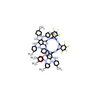 Cc1ccc(Nc2c(Nc3ccc(C)cc3)c(Nc3ccc(C)cc3)c3c(c2Nc2ccc(C)cc2)-c2nc-3nc3[nH]c(nc4nc(nc5[nH]c(n2)c2c(F)c(F)c(F)c(F)c52)-c2c(F)c(F)c(F)c(F)c2-4)c2c(Nc4ccc(C)cc4)c(Nc4ccc(C)cc4)c(Nc4ccc(C)cc4)c(Nc4ccc(C)cc4)c32)cc1